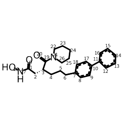 O=C(C[C@@H](CCCc1ccc(-c2ccccc2)cc1)C(=O)N1CCCCC1)NO